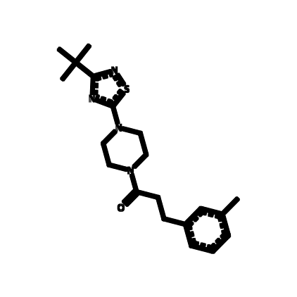 Cc1cccc(CCC(=O)N2CCN(c3nc(C(C)(C)C)ns3)CC2)c1